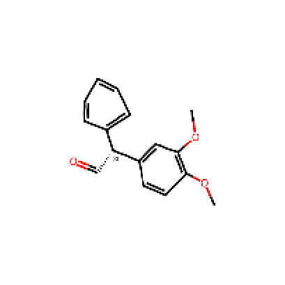 COc1ccc([C@H](C=O)c2ccccc2)cc1OC